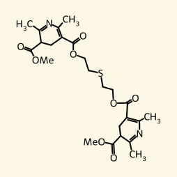 COC(=O)C1CC(C(=O)OCCSCCOC(=O)C2=C(C)N=C(C)C(C(=O)OC)C2)=C(C)N=C1C